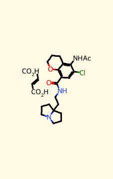 CC(=O)Nc1c(Cl)cc(C(=O)NCCC23CCCN2CCC3)c2c1CCCO2.O=C(O)/C=C/C(=O)O